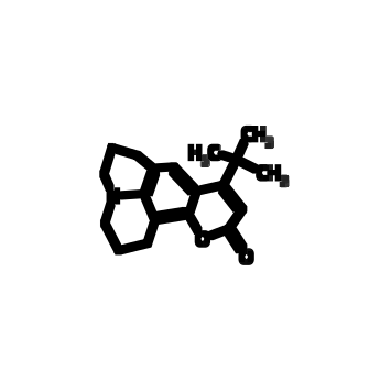 CC(C)(C)c1cc(=O)oc2c3c4c(cc12)CCCN4CCC3